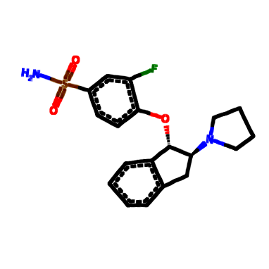 NS(=O)(=O)c1ccc(O[C@H]2c3ccccc3C[C@@H]2N2CCCC2)c(F)c1